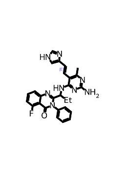 CCC(Nc1nc(N)nc(C)c1/C=C/c1c[nH]cn1)c1nc2cccc(F)c2c(=O)n1-c1ccccc1